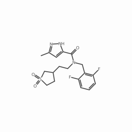 Cc1cc(C(=O)N(CCC2CCS(=O)(=O)C2)Cc2c(F)cccc2F)[nH]n1